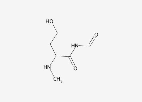 CNC(CCO)C(=O)NC=O